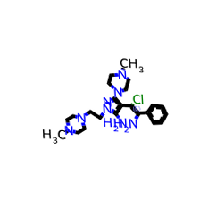 CN1CCN(CCn2nc(N3CCN(C)CC3)c(/C(Cl)=C(\N)c3ccccc3)c2N)CC1